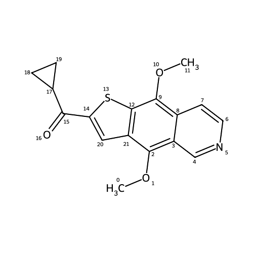 COc1c2cnccc2c(OC)c2sc(C(=O)C3CC3)cc12